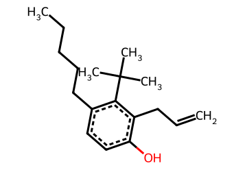 C=CCc1c(O)ccc(CCCCC)c1C(C)(C)C